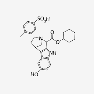 Cc1ccc(S(=O)(=O)O)cc1.O=C(OC1CCCCC1)C1c2[nH]c3ccc(O)cc3c2C2CCN1C2